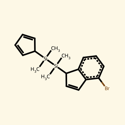 C[Si](C)(C1C=CC=C1)[Si](C)(C)C1C=Cc2c(Br)cccc21